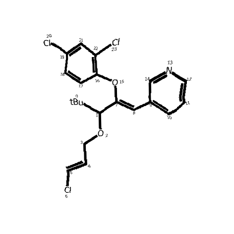 CC(C)(C)C(OCC=CCl)C(=Cc1cccnc1)Oc1ccc(Cl)cc1Cl